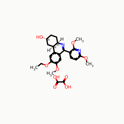 CCOc1cc2c(cc1OC)C(c1ccc(OC)nc1OC)=N[C@@H]1CC[C@@H](O)C[C@H]21.O=C(O)C(=O)O